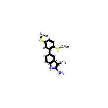 COSc1ccc(SOC)c(-c2ccc3[nH]c(N)c(C#N)c3c2)c1